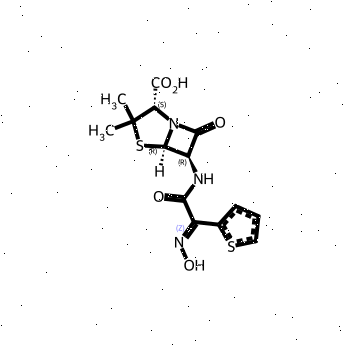 CC1(C)S[C@@H]2[C@H](NC(=O)/C(=N/O)c3cccs3)C(=O)N2[C@H]1C(=O)O